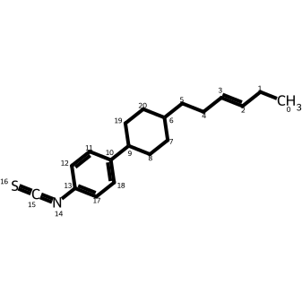 CCC=CCCC1CCC(c2ccc(N=C=S)cc2)CC1